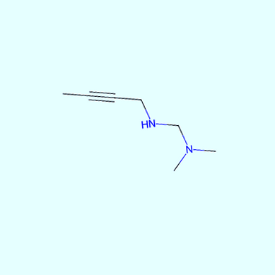 CC#CCNCN(C)C